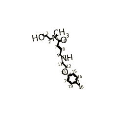 CN(CCO)C(=O)C=CCNCCOc1ccc(I)cc1